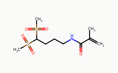 C=C(C)C(=O)NCCCC(S(C)(=O)=O)S(C)(=O)=O